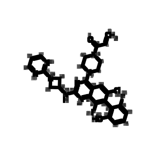 C=CC(=O)N1CCN(c2nc(NC3CN(c4ncccn4)C3)nc3c(F)c(-c4c(O)cccc4F)c(Cl)cc23)CC1